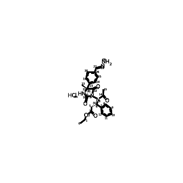 CCOC(=O)C[C@@H](c1ccccc1)N(C(C)=O)N1C(=O)N[C@](C)(c2ccc(C=NN)cc2)C1=O.Cl